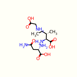 CC[C@H](C)[C@H](N)C(=O)O.NC(=O)C[C@H](N)C(=O)O.NCC(=O)O